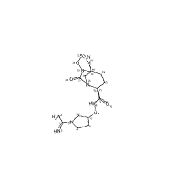 N=C(N)N1CCC(ONC(=O)[C@@H]2CC[C@@H]3CN2C(=O)N3OS(=O)(=O)O)C1